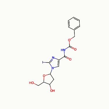 O=C(NC(=O)c1cn(C2CC(O)C(CO)O2)c(I)n1)OCc1ccccc1